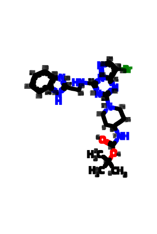 CC(C)(C)OC(=O)NC1CCN(c2nc(NCc3nc4ccccc4[nH]3)n3ncc(Br)c3n2)CC1